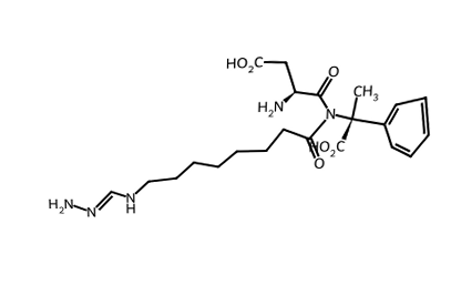 C[C@](C(=O)O)(c1ccccc1)N(C(=O)CCCCCCCNC=NN)C(=O)[C@@H](N)CC(=O)O